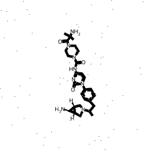 CC(Cc1ccc(-n2ccc(NC(=O)N3CCN(C(=O)C(C)(C)N)CC3)nc2=O)cc1)N1C[C@@H]2[C@@H](N)[C@@H]2C1